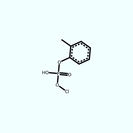 Cc1ccccc1OP(=O)(O)OCl